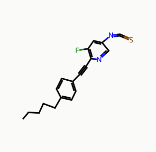 CCCCCc1ccc(C#Cc2ncc(N=C=S)cc2F)cc1